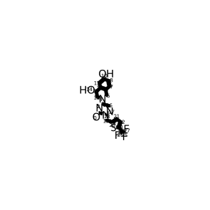 O=c1nc(N2Cc3ccc(O)cc3C(O)C2)cnn1Cc1ccc(C(F)(F)F)s1